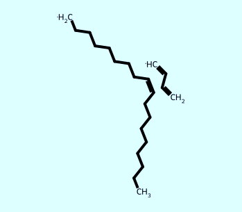 [CH2]CCCCCCC/C=C\CCCCCCCC.[CH]=CC=C